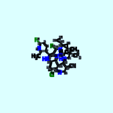 Cc1nc(F)ccc1[C@H](Nc1cc(Cl)c2ncc(C#N)c(NCC(C)(C)C(F)(F)F)c2c1)c1nnn(C2(C3CC3)CC2)c1F